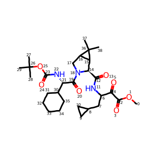 COC(=O)C(=O)C(CC1CC1)NC(=O)[C@@H]1C2C(CN1C(=O)[C@@H](NC(=O)OC(C)(C)C)C1CCCCC1)C2(C)C